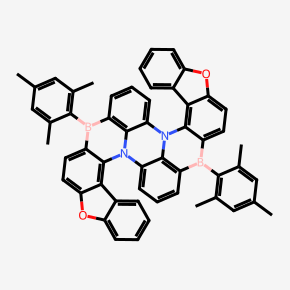 Cc1cc(C)c(B2c3cccc4c3N(c3cccc5c3N4c3c(ccc4oc6ccccc6c34)B5c3c(C)cc(C)cc3C)c3c2ccc2oc4ccccc4c32)c(C)c1